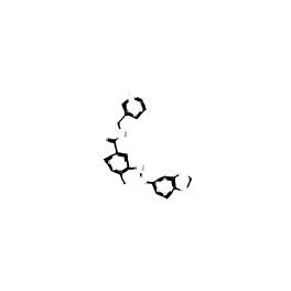 Cc1ccc(C(=O)NCc2cccnc2)cc1NSc1ccc2c(c1)OCO2